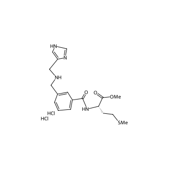 COC(=O)[C@H](CCSC)NC(=O)c1cccc(CNCc2c[nH]cn2)c1.Cl.Cl